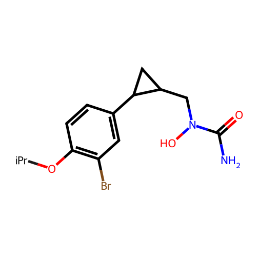 CC(C)Oc1ccc(C2CC2CN(O)C(N)=O)cc1Br